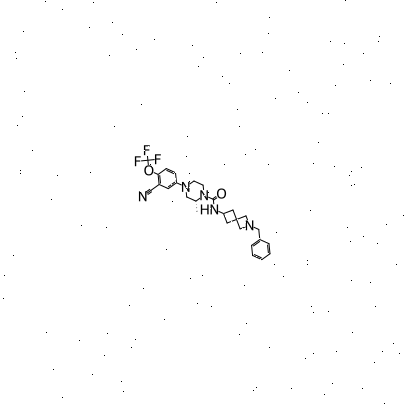 C[C@@H]1CN(c2ccc(OC(F)(F)F)c(C#N)c2)CCN1C(=O)NC1CC2(C1)CN(Cc1ccccc1)C2